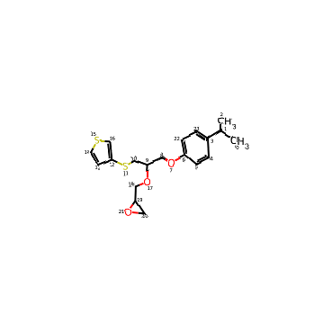 CC(C)c1ccc(OCC(CSc2ccsc2)OCC2CO2)cc1